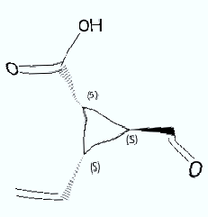 C=C[C@H]1[C@H](C=O)[C@H]1C(=O)O